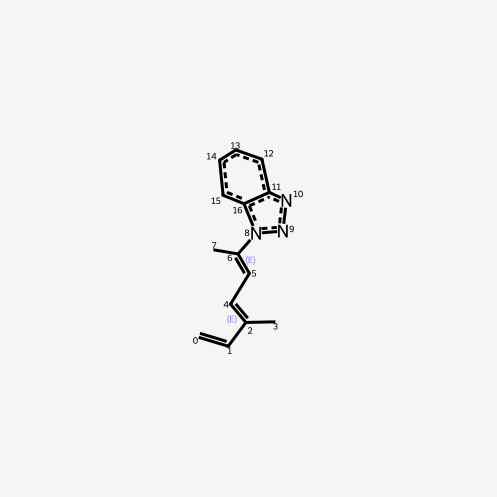 C=C/C(C)=C/C=C(\C)n1nnc2ccccc21